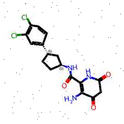 NC1=C(C(=O)N[C@H]2CC[C@H](c3ccc(Cl)c(Cl)c3)C2)NC(=O)CC1=O